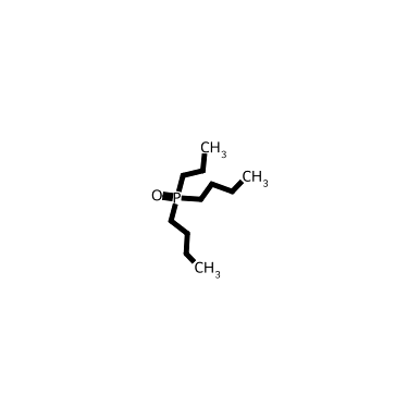 CCCCP(=O)(CCC)CCCC